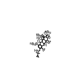 CCCCOc1cc(CNC(C)(C)C2CC2)c(N(C)C)c2c1C(=O)C1=C(O)[C@]3(O[Si](C)(C)C(C)(C)C)C(=O)c4c(OCCCC)noc4[C@@H](N(C)C)[C@@H]3C[C@@H]1C2